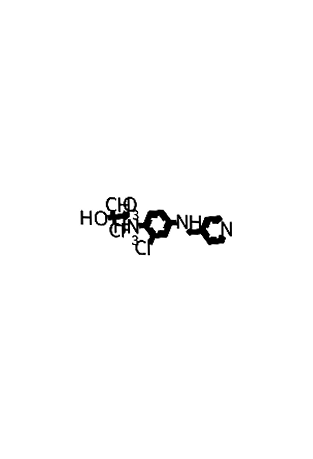 C[C@@](O)(C(=O)Nc1ccc(NCc2ccncc2)cc1Cl)C(F)(F)F